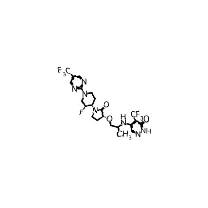 CC(CO[C@@H]1CCN([C@H]2CCN(c3ncc(C(F)(F)F)cn3)C[C@@H]2F)C1=O)Nc1cn[nH]c(=O)c1C(F)(F)F